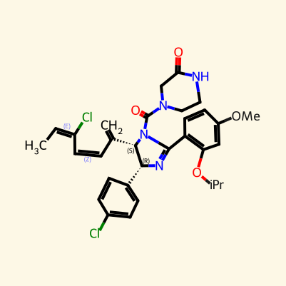 C=C(/C=C\C(Cl)=C/C)[C@H]1[C@@H](c2ccc(Cl)cc2)N=C(c2ccc(OC)cc2OC(C)C)N1C(=O)N1CCNC(=O)C1